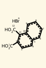 Br.O=C(O)c1ccc2ccccc2c1C(=O)O